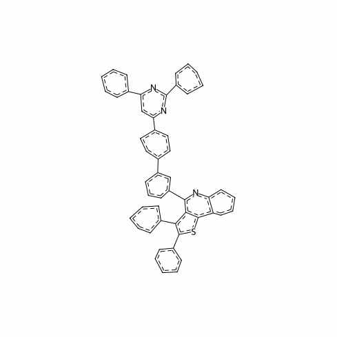 c1ccc(-c2cc(-c3ccc(-c4cccc(-c5nc6ccccc6c6sc(-c7ccccc7)c(-c7ccccc7)c56)c4)cc3)nc(-c3ccccc3)n2)cc1